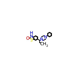 C=CC(c1ccc2[nH]c(=O)sc2c1)N1CCN(c2ccccc2)CC1